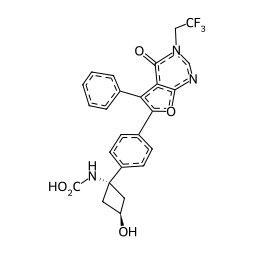 O=C(O)N[C@]1(c2ccc(-c3oc4ncn(CC(F)(F)F)c(=O)c4c3-c3ccccc3)cc2)C[C@@H](O)C1